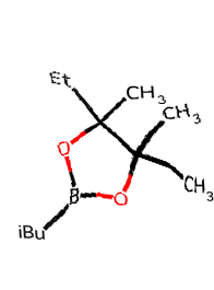 CCC(C)B1OC(C)(C)C(C)(CC)O1